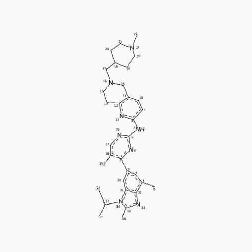 Cc1cc(-c2nc(Nc3ccc4c(n3)CCN(CC3CCN(C)CC3)C4)ncc2F)cc2c1nc(C)n2C(C)C